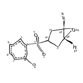 O=S(=O)(c1ccccc1Cl)C1C[C@@H]2O[C@@H]2C1